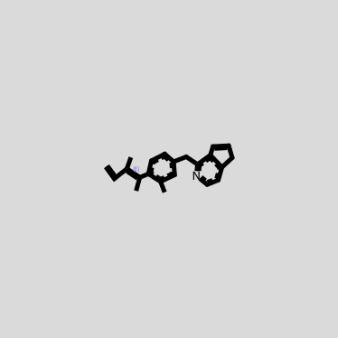 C=C/C(C)=C(\C)c1ccc(Cc2nccc3c2C=CC3)cc1C